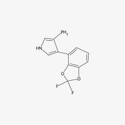 FC1(F)Oc2cccc(-c3c[nH]cc3P)c2O1